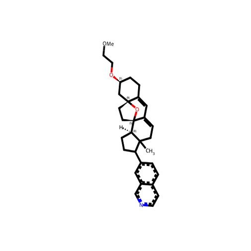 COCCO[C@H]1CCC2=CC3=CCC4(C)C(c5ccc6ccncc6c5)CC[C@H]4[C@@]34CC[C@]2(C1)O4